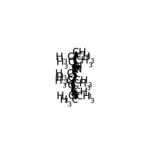 CC(C)C(C)C(C)(C)c1cn(C(C)CC(C)(C)C(C)(C)OCCC(C)(C)C(C)C)nn1